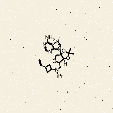 C=C[C@H]1C[C@@H](N(C[C@H]2OC[C@]3(n4cnc5c(N)ncnc54)OC(C)(C)O[C@H]23)C(C)C)C1